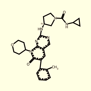 Cc1ccccc1-c1cc2cnc(N[C@H]3CCN(C(=O)NC4CC4)C3)nc2n(C2CCOCC2)c1=O